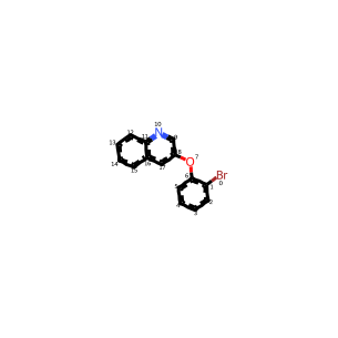 Brc1ccccc1Oc1cnc2ccccc2c1